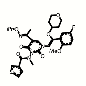 COc1ccc(F)cc1/C(=C/n1cc(/C(C)=N/OC(C)C)c(=O)n(N(C)C(=O)c2ccsc2)c1=O)OC1CCOCC1